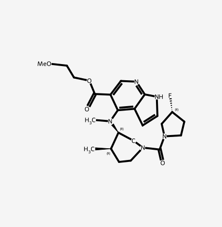 COCCOC(=O)c1cnc2[nH]ccc2c1N(C)[C@H]1CN(C(=O)N2CC[C@@H](F)C2)CC[C@H]1C